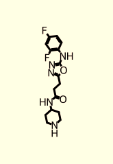 O=C(CCc1nnc(Nc2ccc(F)cc2F)o1)NC1CCNCC1